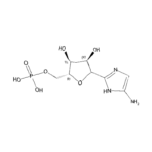 Nc1cnc(C2O[C@H](COP(=O)(O)O)[C@@H](O)[C@H]2O)[nH]1